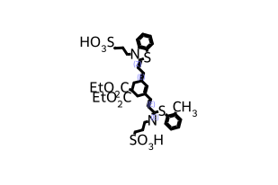 CCOC(=O)C1(C(=O)OCC)CC(/C=C/C(=N\CCCS(=O)(=O)O)Sc2ccccc2C)=CC(=C/C=C2\Sc3ccccc3N2CCCS(=O)(=O)O)/C1